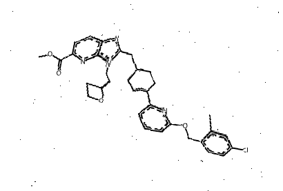 COC(=O)c1ccc2nc(CC3CC=C(c4cccc(OCc5ccc(Cl)cc5C)n4)CC3)n(CC3CCO3)c2n1